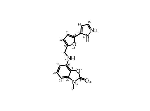 Cn1c(=O)oc2c(NCc3ccc(-c4ccn[nH]4)o3)cccc21